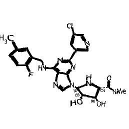 CNC(=O)[C@H]1N[C@@H](n2cnc3c(NCc4cc(C)ccc4F)nc(-c4cncc(Cl)c4)nc32)[C@H](O)[C@@H]1O